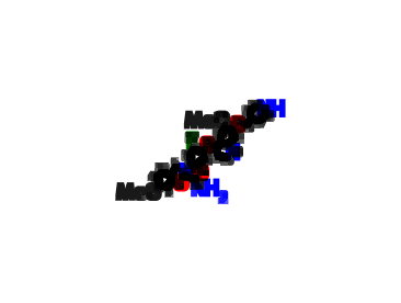 COc1ccc(CN(C(=O)C(N)=O)c2ccc(Oc3ccnc4cc(OCC5CCNCC5)c(OC)cc34)c(F)c2)cc1